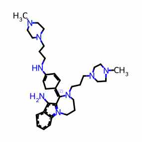 CN1CCN(CCCNC2=CC/C(=C3\c4c(N)c5ccccc5n4CCCN3CCCN3CCN(C)CC3)C=C2)CC1